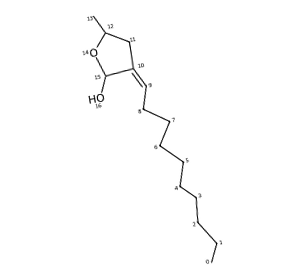 CCCCCCCCC/C=C1/CC(C)OC1O